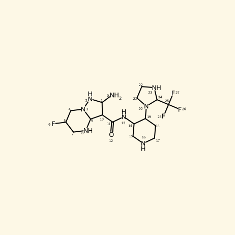 NC1NN2CC(F)CNC2C1C(=O)NC1CNCCC1N1CCNC1C(F)(F)F